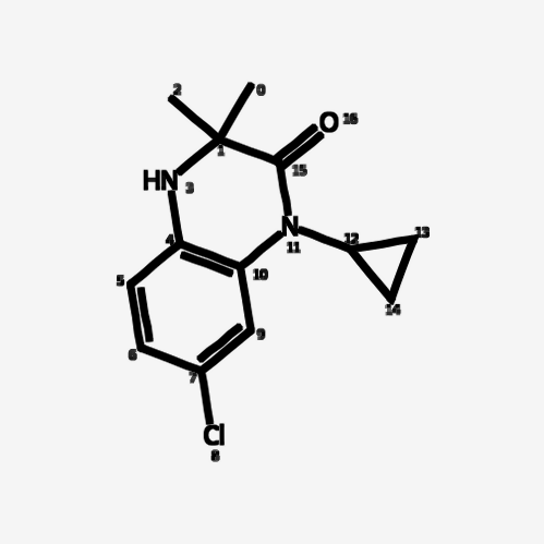 CC1(C)Nc2ccc(Cl)cc2N(C2CC2)C1=O